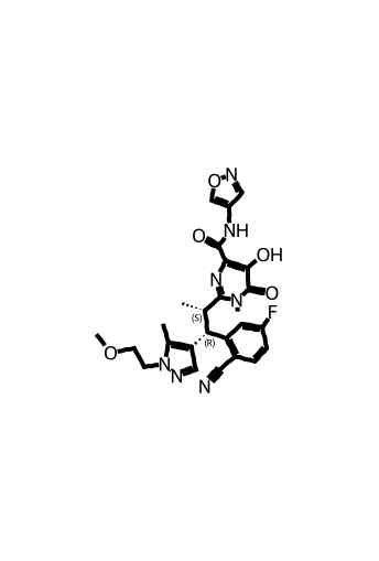 COCCn1ncc([C@@H](c2cc(F)ccc2C#N)[C@H](C)c2nc(C(=O)Nc3cnoc3)c(O)c(=O)n2C)c1C